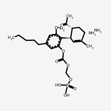 C=C(C)[C@@H]1CCC(C)=C[C@H]1c1c(O)cc(CCCCC)cc1OC(=O)OCOP(=O)(O)O.N.N